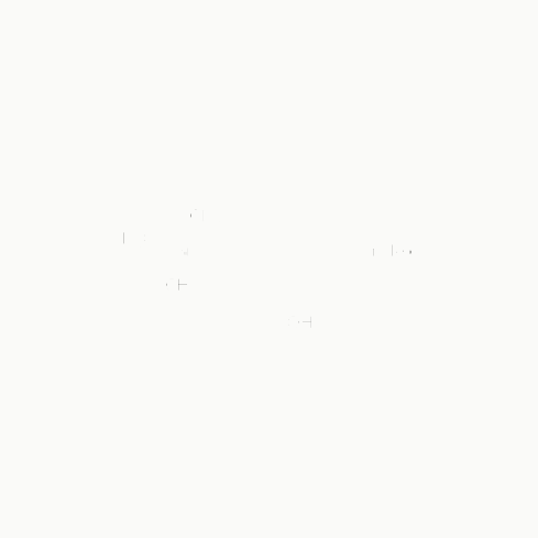 CCCCCCCCC(O)C#C[Si](C)(C)C